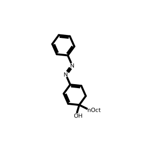 CCCCCCCCC1(O)C=CC(N=Nc2ccccc2)=CC1